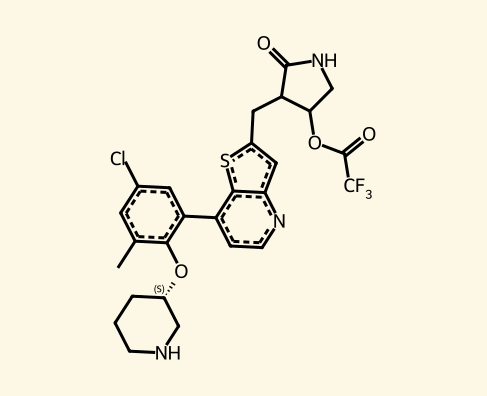 Cc1cc(Cl)cc(-c2ccnc3cc(CC4C(=O)NCC4OC(=O)C(F)(F)F)sc23)c1O[C@H]1CCCNC1